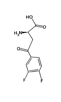 N[C@H](CC(=O)c1ccc(F)c(F)c1)C(=O)O